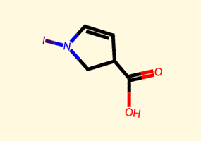 O=C(O)C1C=CN(I)C1